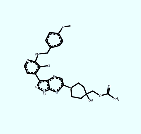 COc1ccc(CNc2nccc(-c3n[nH]c4nc(N5CCC(O)(COC(N)=O)CC5)cnc34)c2Cl)cc1